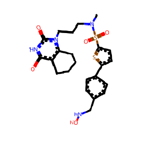 CN(CCCn1c2c(c(=O)[nH]c1=O)CCCC2)S(=O)(=O)c1ccc(-c2ccc(CNO)cc2)s1